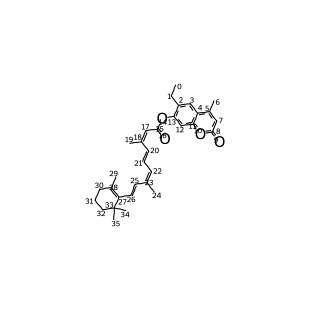 CCc1cc2c(C)cc(=O)oc2cc1OC(=O)C=C(C)C=CC=C(C)C=CC1=C(C)CCCC1(C)C